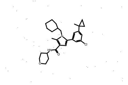 Cc1c(C(=O)NC2CCOCC2)cc(-c2cc(Cl)cc(C3(C)CC3)c2)n1CC1CCCCC1